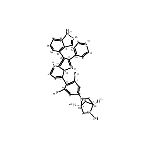 CCN1C[C@@H]2C[C@H]1CN2c1cc(F)c(-c2ccnc3c(-c4cccc5[nH]ncc45)c(-c4ccncc4)nn23)c(F)c1